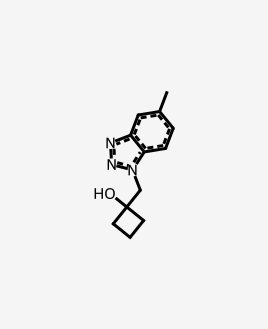 Cc1ccc2c(c1)nnn2CC1(O)CCC1